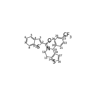 O=C(c1cc2ccccc2s1)N1CCc2sccc2C1c1ccc(C(F)(F)F)cc1